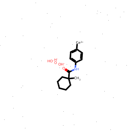 CC1(C(=O)Nc2cc[c]([Ge+3])cc2)CCCCC1.[OH-].[OH-].[OH-]